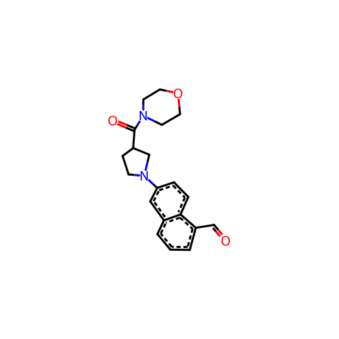 O=Cc1cccc2cc(N3CCC(C(=O)N4CCOCC4)C3)ccc12